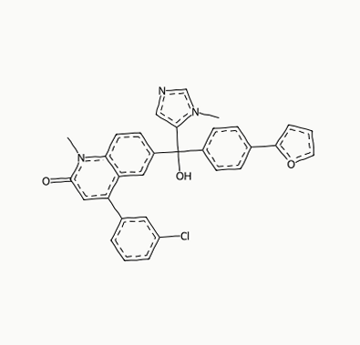 Cn1cncc1C(O)(c1ccc(-c2ccco2)cc1)c1ccc2c(c1)c(-c1cccc(Cl)c1)cc(=O)n2C